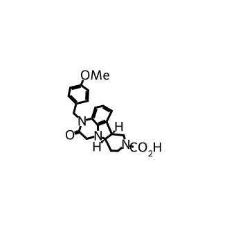 COc1ccc(CN2C(=O)CN3c4c(cccc42)[C@@H]2CN(C(=O)O)CC[C@@H]23)cc1